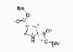 CC(C)(C)OC(=O)[C@H]1CN[C@@H](C(=O)OC(C)(C)C)C1